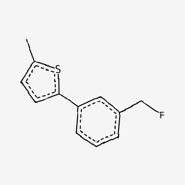 Cc1ccc(-c2cccc(CF)c2)s1